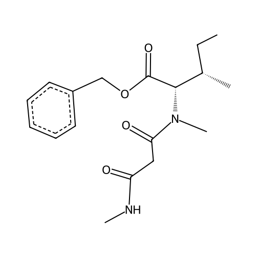 CC[C@H](C)[C@@H](C(=O)OCc1ccccc1)N(C)C(=O)CC(=O)NC